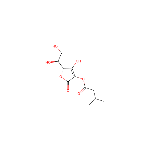 CC(C)CC(=O)OC1=C(O)[C@@H]([C@@H](O)CO)OC1=O